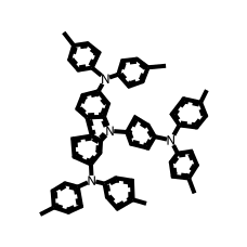 Cc1ccc(N(c2ccc(C)cc2)c2ccc(-n3c4cc(N(c5ccc(C)cc5)c5ccc(C)cc5)ccc4c4ccc(N(c5ccc(C)cc5)c5ccc(C)cc5)cc43)cc2)cc1